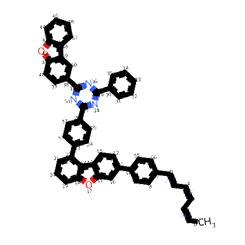 C\C=C/C=C\C=C\c1ccc(-c2ccc3c(c2)oc2cccc(-c4ccc(-c5nc(-c6ccccc6)nc(-c6ccc7oc8ccccc8c7c6)n5)cc4)c23)cc1